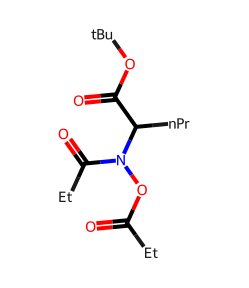 CCCC(C(=O)OC(C)(C)C)N(OC(=O)CC)C(=O)CC